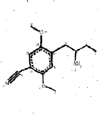 CCC(N)Cc1cc(OC)c(C#N)cc1OC